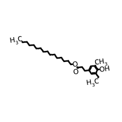 CCCCCCCCCCCCCCCCOC(=O)CCc1cc(C)c(O)c(CC)c1